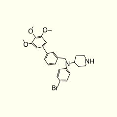 COc1cc(-c2cccc(CN(c3ccc(Br)cc3)C3CCNCC3)c2)cc(OC)c1OC